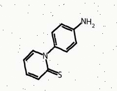 Nc1ccc(-n2ccccc2=S)cc1